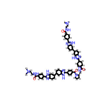 CN(C)CCNC(=O)c1ccc(-c2nc3ccc(-c4ccc5nc(-c6ccc(C(=O)NC[C@H]7CCCN7C(=O)c7ccc(-c8nc9ccc(-c%10ccc%11nc(-c%12ccc(C(=O)NCCN(C)C)cc%12)[nH]c%11c%10)cc9[nH]8)cc7)cc6)[nH]c5c4)cc3[nH]2)cc1